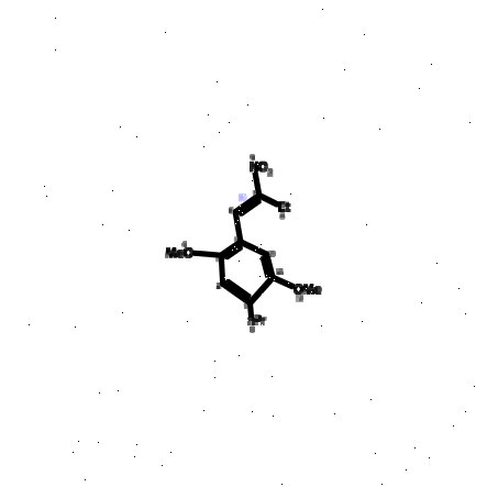 CCCc1cc(OC)c(/C=C(\CC)[N+](=O)[O-])cc1OC